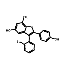 CCc1ccccc1-c1c(-c2ccc(O)cc2)oc2c(C)cc(O)cc12